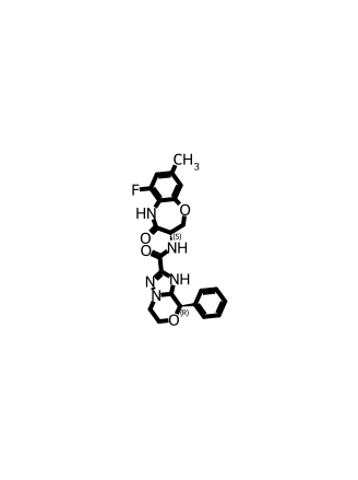 Cc1cc(F)c2c(c1)OC[C@H](NC(=O)C1=NN3CCO[C@H](c4ccccc4)C3N1)C(=O)N2